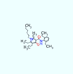 CCCCCCn1c(C)c(C(=O)Nc2c(CC)cccc2CC)c(=O)c(CC)c1CC